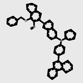 C=Nc1c(-c2ccc3cc(N(c4ccccc4)c4ccc(-c5cc6ccccc6c6ccccc56)cc4)ccc3c2)cc2ccccc2c1OCc1ccccc1